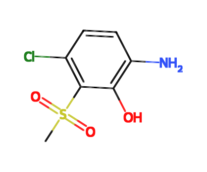 CS(=O)(=O)c1c(Cl)ccc(N)c1O